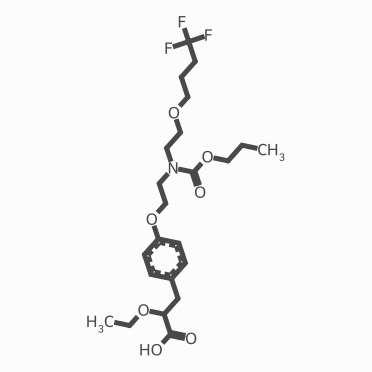 CCCOC(=O)N(CCOCCCC(F)(F)F)CCOc1ccc(CC(OCC)C(=O)O)cc1